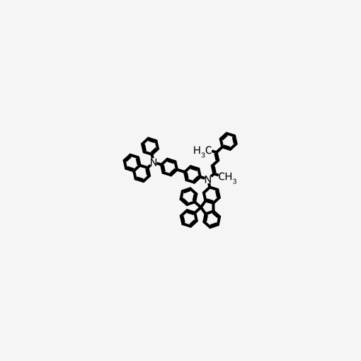 C/C(=C\C=C(/C)N(c1ccc(-c2ccc(N(c3ccccc3)c3cccc4ccccc34)cc2)cc1)C1C=CC2=C(C1)C(c1ccccc1)(c1ccccc1)c1ccccc12)c1ccccc1